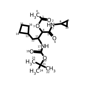 CC(=O)OC(C(=O)NC1CC1)C(CC1CCC1)NC(=O)OC(C)(C)C